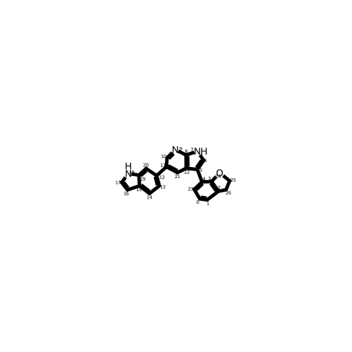 c1cc2c(c(-c3c[nH]c4ncc(-c5ccc6cc[nH]c6c5)cc34)c1)OCC2